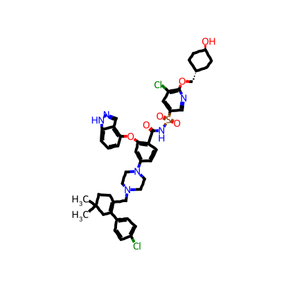 CC1(C)CCC(CN2CCN(c3ccc(C(=O)NS(=O)(=O)c4cnc(OC[C@H]5CC[C@H](O)CC5)c(Cl)c4)c(Oc4cccc5[nH]ncc45)c3)CC2)=C(c2ccc(Cl)cc2)C1